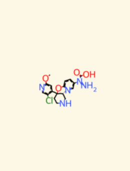 COc1cc([C@@]2(Oc3ccc(N(N)C(=O)O)cn3)CCNC[C@H]2C)c(Cl)cn1